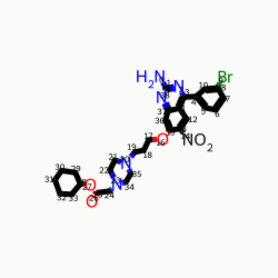 Nc1nc(-c2cccc(Br)c2)c2cc([N+](=O)[O-])c(OCCCN3CCN(CC(=O)OC4CCCCC4)CC3)cc2n1